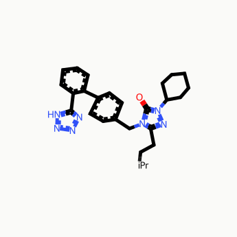 CC(C)CCc1nn(C2CCCCC2)c(=O)n1Cc1ccc(-c2ccccc2-c2nnn[nH]2)cc1